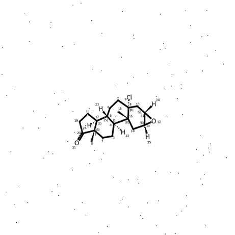 C[C@]12CC[C@H]3[C@@H](CC[C@@]4(Cl)C[C@@H]5O[C@@H]5C[C@]34C)[C@@H]1CCC2=O